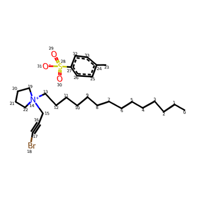 CCCCCCCCCCCCCC[N+]1(CC#CBr)CCCC1.Cc1ccc(S(=O)(=O)[O-])cc1